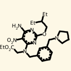 CCOC(=O)CN(Cc1cccc(CN2CCCC2)c1)c1nc(OCC(CC)CC)nc(N)c1[N+](=O)[O-]